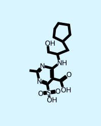 Cc1nc(NC(CO)CC2CCCCC2)c(C(=O)O)c(S(=O)(=O)O)n1